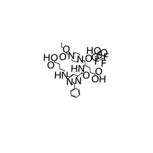 CCOC(=O)N1CCN(C(=O)C(CCC(=O)O)NC(=O)c2cc(NCCCC(=O)O)nc(-c3ccccc3)n2)CC1.O=S(=O)(O)C(F)(F)F